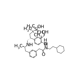 C[C@H](Cc1cccc(CC(=O)NCCC2CCCCC2)c1)NC[C@H](CC(C)(C)[Si](C)(C)O)c1ccc(O)c(CO)c1